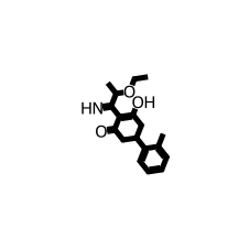 CCOC(C)C(=N)C1=C(O)CC(c2ccccc2C)CC1=O